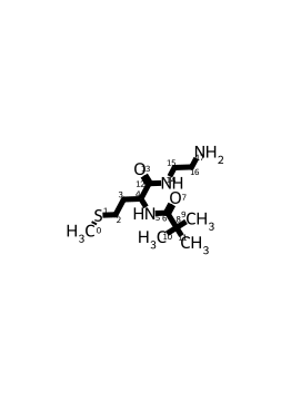 CSCCC(NC(=O)C(C)(C)C)C(=O)NCCN